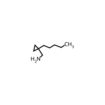 CCCCCC1(CN)CC1